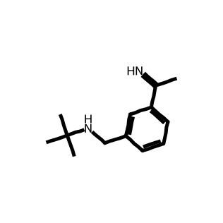 CC(=N)c1cccc(CNC(C)(C)C)c1